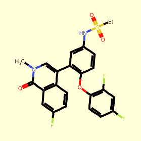 CCS(=O)(=O)Nc1ccc(Oc2ccc(F)cc2F)c(-c2cn(C)c(=O)c3cc(F)ccc23)c1